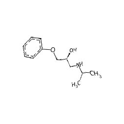 CC(C)NC[C@H](O)COc1ccccc1